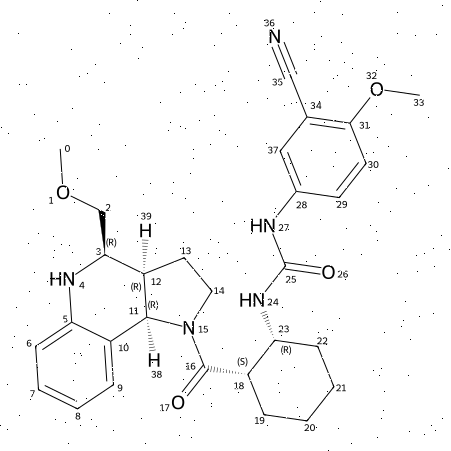 COC[C@@H]1Nc2ccccc2[C@H]2[C@@H]1CCN2C(=O)[C@H]1CCCC[C@H]1NC(=O)Nc1ccc(OC)c(C#N)c1